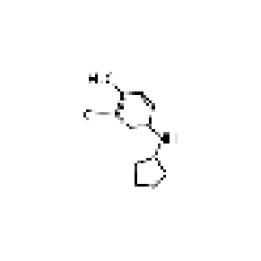 Cc1ccc(NC2CCCC2)cc1Cl